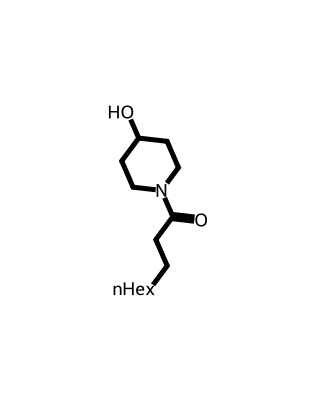 CCCCCCCCC(=O)N1CCC(O)CC1